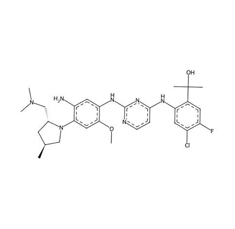 COc1cc(N2C[C@@H](C)C[C@@H]2CN(C)C)c(N)cc1Nc1nccc(Nc2cc(Cl)c(F)cc2C(C)(C)O)n1